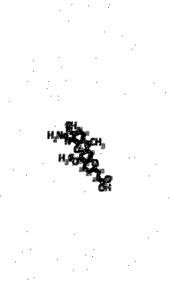 COc1cc2c(c(OC)c1Oc1cccc3c1nc(N)n3C)CCC(CCC(=O)O)O2